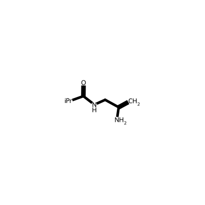 C=C(N)CNC(=O)C(C)C